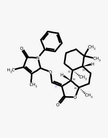 CC1=C(C)C(O/C=C2/C(=O)O[C@]3(C)CC[C@H]4C(C)(C)CCC[C@]4(C)[C@@H]23)N(c2ccccc2)C1=O